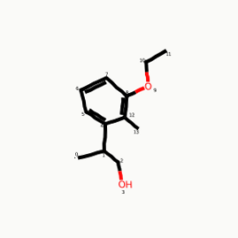 [CH2]C(CO)c1cccc(OCC)c1C